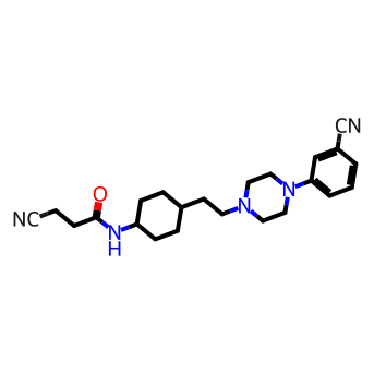 N#CCCC(=O)NC1CCC(CCN2CCN(c3cccc(C#N)c3)CC2)CC1